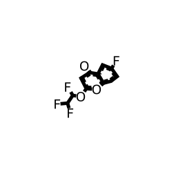 O=c1cc(OC(F)C(F)F)oc2ccc(F)cc12